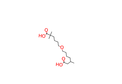 CC(CCCCOCCCCC(C)(C)C(=O)O)CC(=O)O